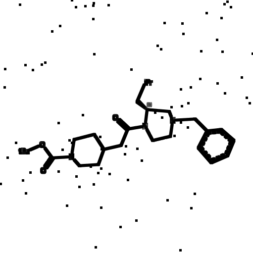 CC(C)C[C@H]1CN(Cc2ccccc2)CCN1C(=O)CC1CCN(C(=O)OC(C)(C)C)CC1